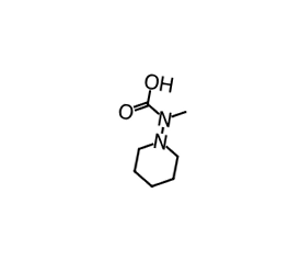 CN(C(=O)O)N1CCCCC1